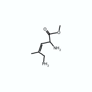 COC(=O)C(N)C=C(C)CP